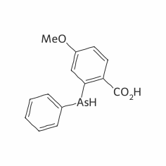 COc1ccc(C(=O)O)c([AsH]c2ccccc2)c1